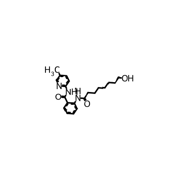 Cc1ccc(NC(=O)c2ccccc2NC(=O)CCCCCCCO)nc1